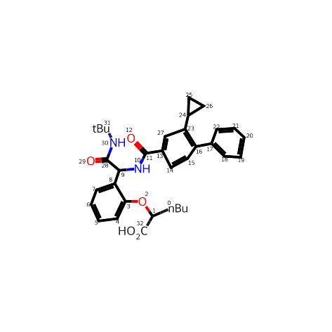 CCCCC(Oc1ccccc1C(NC(=O)c1ccc(-c2ccccc2)c(C2CC2)c1)C(=O)NC(C)(C)C)C(=O)O